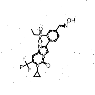 CCS(=O)(=O)c1cc(/C=N/O)ccc1-c1cn2c(=O)n(C3CC3)c(C(F)(F)F)cc2n1